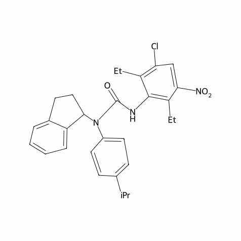 CCc1c(Cl)cc([N+](=O)[O-])c(CC)c1NC(=O)N(c1ccc(C(C)C)cc1)C1CCc2ccccc21